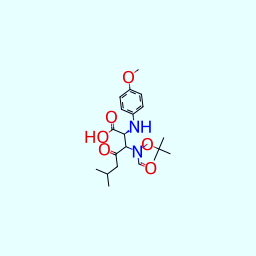 COc1ccc(N[C@H](C(=O)O)C(C(=O)CC(C)C)N(C=O)OC(C)(C)C)cc1